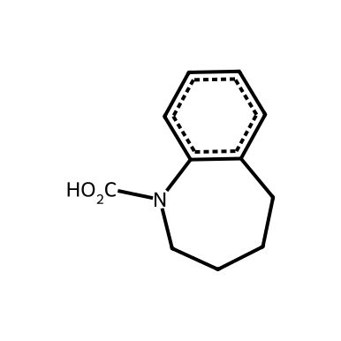 O=C(O)N1CCCCc2ccccc21